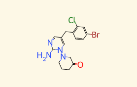 NC1N=CC(Cc2ccc(Br)cc2Cl)=CN1N1CCCC(=O)C1